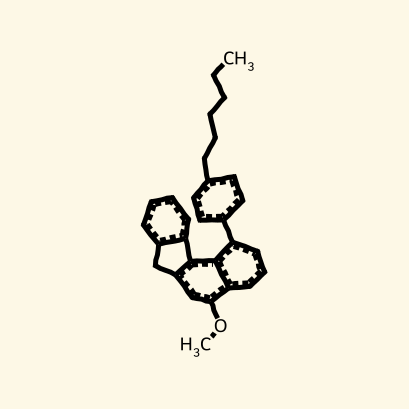 CCCCCCc1ccc(-c2cccc3c(OC)cc4c(c23)-c2ccccc2C4)cc1